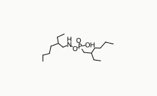 CCCCC(CC)CNOP(=O)(O)CC(CC)CCCC